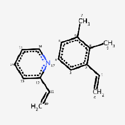 C=Cc1cccc(C)c1C.C=Cc1ccccn1